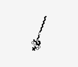 CCCCCCCCCCCCCCn1ccc(=O)c(OC(=O)C(C)(C)C)c1C(C)=O